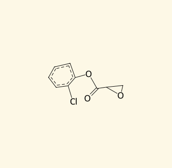 O=C(Oc1ccccc1Cl)C1CO1